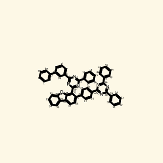 c1ccc(-c2cccc(-c3nc(-c4ccccc4)nc(-c4c(-c5ccc(-c6nc(-c7ccccc7)nc(-c7ccccc7)n6)cc5)ccc5c4oc4ccccc45)n3)c2)cc1